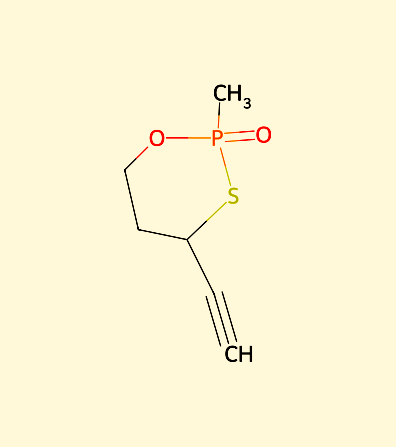 C#CC1CCOP(C)(=O)S1